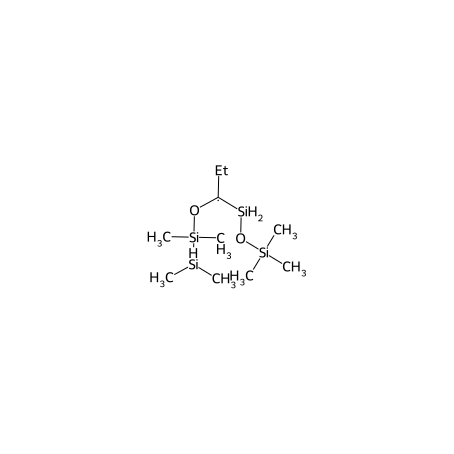 CC[C](O[Si](C)(C)[SiH](C)C)[SiH2]O[Si](C)(C)C